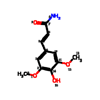 COc1cc(C=CC(N)=O)cc(OC)c1O